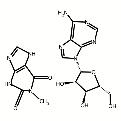 Cn1c(=O)[nH]c2nc[nH]c2c1=O.Nc1ncnc2c1ncn2[C@@H]1O[C@H](CO)[C@@H](O)[C@H]1O